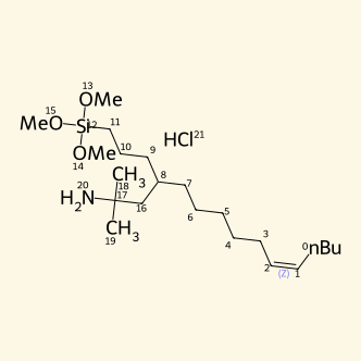 CCCC/C=C\CCCCCC(CCC[Si](OC)(OC)OC)CC(C)(C)N.Cl